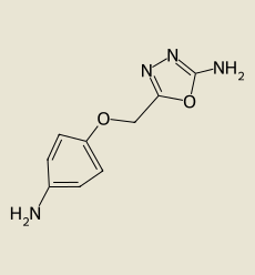 Nc1ccc(OCc2nnc(N)o2)cc1